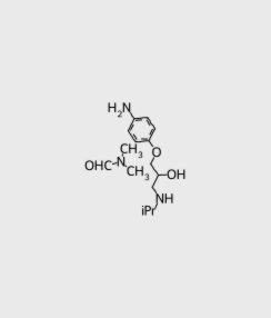 CC(C)NCC(O)COc1ccc(N)cc1.CN(C)C=O